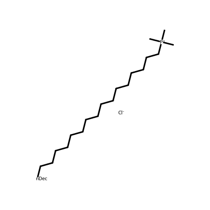 CCCCCCCCCCCCCCCCCCCCCCCCCC[P+](C)(C)C.[Cl-]